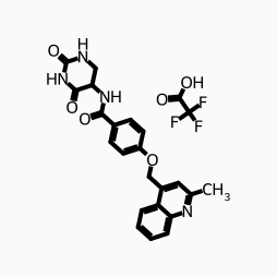 Cc1cc(COc2ccc(C(=O)NC3CNC(=O)NC3=O)cc2)c2ccccc2n1.O=C(O)C(F)(F)F